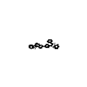 c1ccc(-c2nc3ccccc3nc2-c2ccc(-c3ccc4c(ccc5c6ccccc6sc45)c3)cc2)cc1